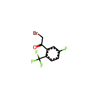 O=C(CBr)c1cc(F)ccc1C(F)(F)F